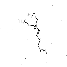 CCCC=C[SiH](CC)CC